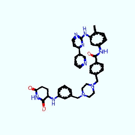 Cc1ccc(NC(=O)c2ccc(CN3CCN(Cc4cccc(NC5CCC(=O)NC5=O)c4)CC3)cc2)cc1Nc1nccc(-c2cccnc2)n1